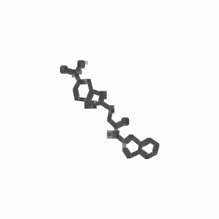 O=C(CSc1nc2cc([N+](=O)[O-])ccc2[nH]1)Nc1ccc2ccccc2c1